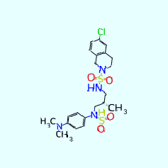 C[C@@H](CNS(=O)(=O)N1CCc2cc(Cl)ccc2C1)CN(c1ccc(N(C)C)cc1)[SH](=O)=O